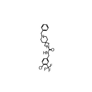 O=C(NCc1ccc(Cl)c(C(F)(F)F)c1)N1CC2(CCN(Cc3ccccc3)CC2)C1